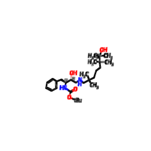 CC(C)(CCCC(C)(C)[Si](C)(C)O)CNC[C@@H](O)[C@H](Cc1ccccc1)NC(=O)OC(C)(C)C